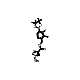 Cc1c(CNC(=O)c2cn(C(C)(C)C)nn2)ccc(B2OC(C)(C)C(C)(C)O2)c1F